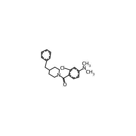 CN(C)c1ccc(C(=O)N2CCC(Cc3ccccc3)CC2)c(Cl)c1